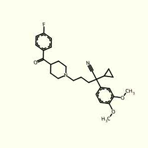 COc1ccc(C(C#N)(CCCN2CCC(C(=O)c3ccc(F)cc3)CC2)C2CC2)cc1OC